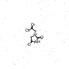 O=C(Cl)CN1CC(=O)NC1=O